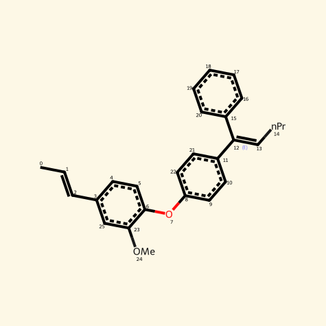 CC=Cc1ccc(Oc2ccc(/C(=C/CCC)c3ccccc3)cc2)c(OC)c1